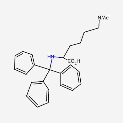 CNCCCCC(NC(c1ccccc1)(c1ccccc1)c1ccccc1)C(=O)O